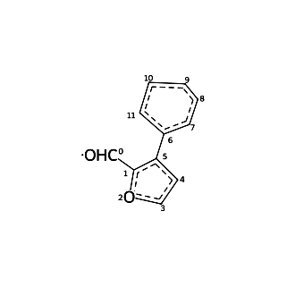 O=[C]c1occc1-c1ccccc1